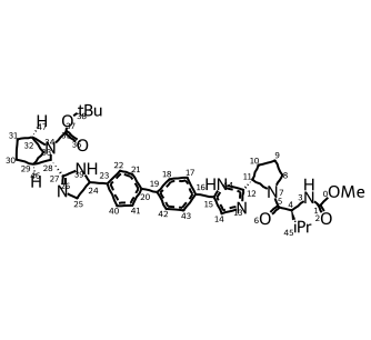 COC(=O)N[C@H](C(=O)N1CCC[C@H]1c1ncc(-c2ccc(-c3ccc(C4CN=C([C@@H]5[C@H]6CC[C@H](C6)N5C(=O)OC(C)(C)C)N4)cc3)cc2)[nH]1)C(C)C